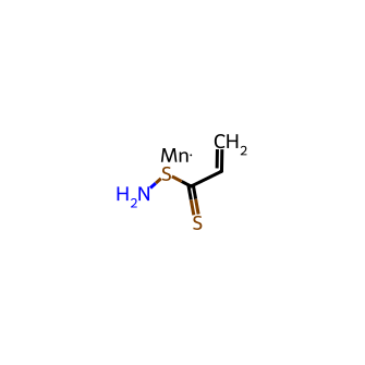 C=CC(=S)SN.[Mn]